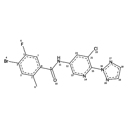 Cc1cc(Br)c(F)cc1C(=O)Nc1cnc(-n2nccn2)c(Cl)c1